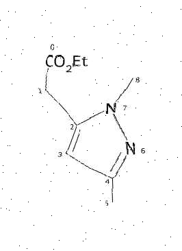 CCOC(=O)Cc1cc(C)nn1C